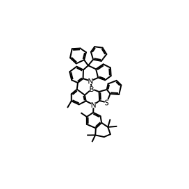 Cc1cc2c3c(c1)N(c1cc4c(cc1C)C(C)(C)CCC4(C)C)c1sc4ccccc4c1B3N1c3ccccc3C(c3ccccc3)(c3ccccc3)c3cccc-2c31